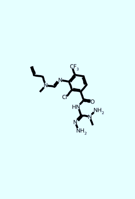 C=CCN(C)/C=N/c1c(C(F)(F)F)ccc(C(=O)N/C(=N/N)N(C)N)c1Cl